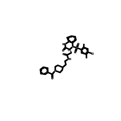 Cc1cc(S(=O)(=O)N2c3ccccc3NC(=O)[C@H]2CC(=O)NCCC2CCN(C(=O)c3ccccc3)CC2)c(C)cc1Cl